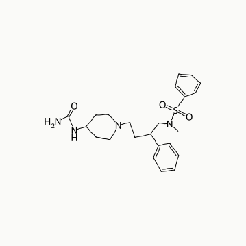 CN(CC(CCN1CCC(NC(N)=O)CC1)c1ccccc1)S(=O)(=O)c1ccccc1